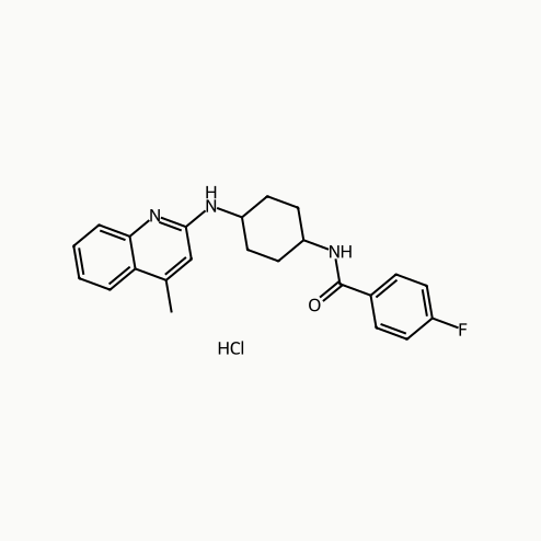 Cc1cc(NC2CCC(NC(=O)c3ccc(F)cc3)CC2)nc2ccccc12.Cl